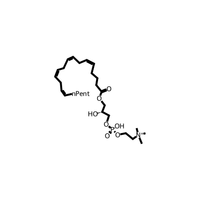 CCCCC/C=C\C/C=C\C/C=C\C/C=C\CCCC(=O)OC[C@@H](O)COP(=O)(O)OCC[N+](C)(C)C